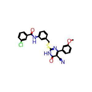 COc1cccc(-c2nc(SCc3cccc(NC(=O)c4cccc(Cl)c4)c3)[nH]c(=O)c2C#N)c1